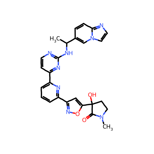 CC(Nc1nccc(-c2cccc(-c3cc(C4(O)CCN(C)C4=O)on3)n2)n1)c1ccc2nccn2c1